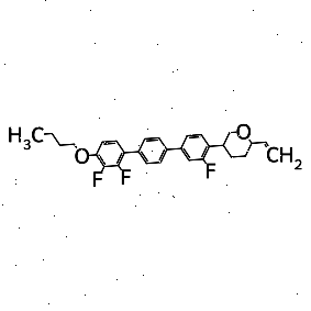 C=CC1CCC(c2ccc(-c3ccc(-c4ccc(OCCCC)c(F)c4F)cc3)cc2F)CO1